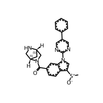 C[S+]([O-])c1cn(-c2ncc(-c3ccccc3)cn2)c2cc(C(=O)N3C[C@@H]4C[C@H]3CN4)ccc12